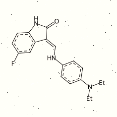 CCN(CC)c1ccc(N/C=C2/C(=O)Nc3ccc(F)cc32)cc1